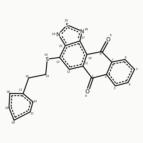 O=C1c2ccccc2C(=O)c2c1cc(SCCc1ccccc1)c1nsnc21